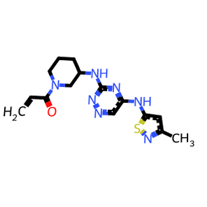 C=CC(=O)N1CCCC(Nc2nncc(Nc3cc(C)ns3)n2)C1